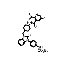 CCOC(=O)Nc1ccc(-n2c(=O)n(CC3CCC(NC(=O)c4cc(Cl)cnc4C(F)F)CC3)c3ccccc32)cn1